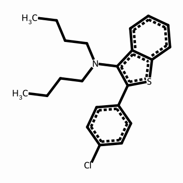 CCCCN(CCCC)c1c(-c2ccc(Cl)cc2)sc2ccccc12